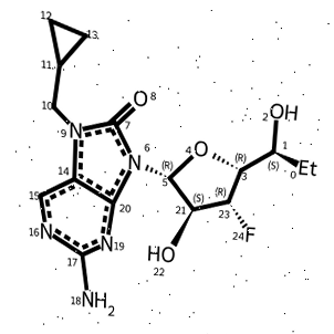 CC[C@H](O)[C@H]1O[C@@H](n2c(=O)n(CC3CC3)c3cnc(N)nc32)[C@H](O)[C@H]1F